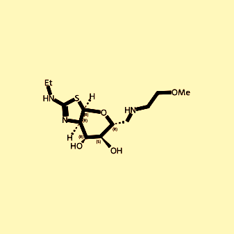 CCNC1=N[C@@H]2[C@@H](O)[C@H](O)[C@@H](CNCCOC)O[C@@H]2S1